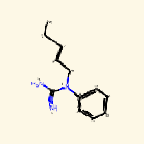 CCCCCN(C(=N)N)c1ccccc1